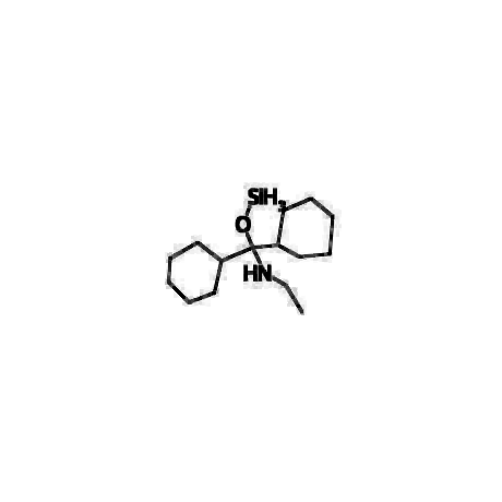 CCNC(O[SiH3])(C1CCCCC1)C1CCCCC1